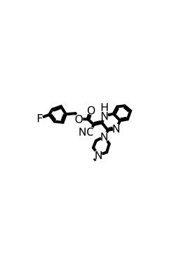 CN1CCN(C2=Nc3ccccc3NC2=C(C#N)C(=O)OCc2ccc(F)cc2)CC1